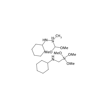 COC(OC)[SiH](C)NC1CCCCC1.CO[Si](CNC1CCCCC1)(OC)OC